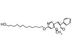 COc1cc(OCCCCCCCCCCCCO)ncc1/C=C(\C=O)c1ccccc1